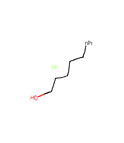 CCCCCCCCO.F